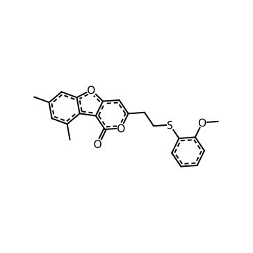 COc1ccccc1SCCc1cc2oc3cc(C)cc(C)c3c2c(=O)o1